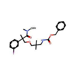 CON(C)C(=O)C(C)(COCC(C)(C)CNC(=O)OCc1ccccc1)c1cccc(I)c1